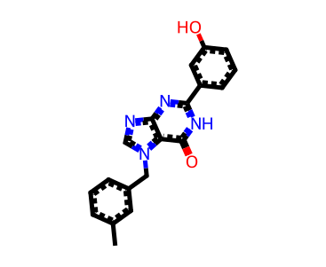 Cc1cccc(Cn2cnc3nc(-c4cccc(O)c4)[nH]c(=O)c32)c1